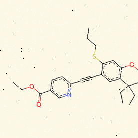 CCCSc1cc2c(cc1C#Cc1ccc(C(=O)OCC)cn1)C(CC)(CC)CCO2